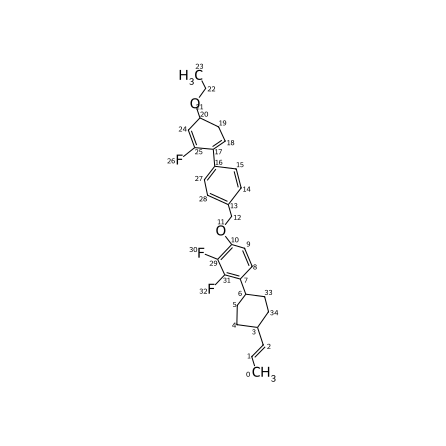 C/C=C/C1CCC(c2ccc(OCc3ccc(C4=CCC(OCC)C=C4F)cc3)c(F)c2F)CC1